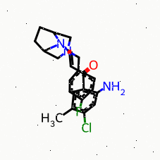 Cc1cc(C(=O)/C=C/N2C3CCC2CN(Cc2ccc(F)cc2)C3)c(N)cc1Cl